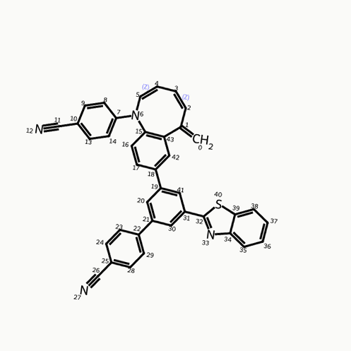 C=C1/C=C\C=C/N(c2ccc(C#N)cc2)c2ccc(-c3cc(-c4ccc(C#N)cc4)cc(-c4nc5ccccc5s4)c3)cc21